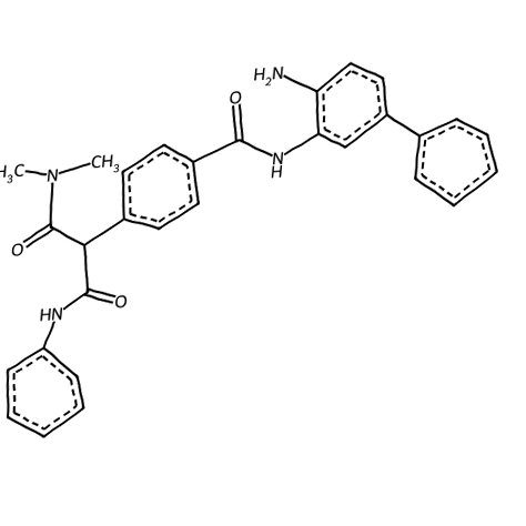 CN(C)C(=O)C(C(=O)Nc1ccccc1)c1ccc(C(=O)Nc2cc(-c3ccccc3)ccc2N)cc1